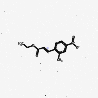 CCOC(=O)/C=C/c1ccc([N+](=O)[O-])cc1C